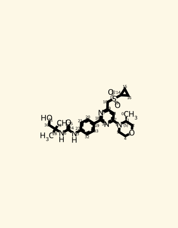 C[C@H]1COCCN1c1cc(CS(=O)(=O)C2CC2)nc(-c2ccc(NC(=O)NC(C)(C)CO)cc2)n1